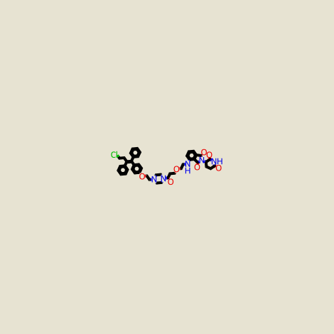 O=C1CCC(N2C(=O)c3cccc(NCCOCCC(=O)N4CCN(CCOc5ccc(C(=C(CCCl)c6ccccc6)c6ccccc6)cc5)CC4)c3C2=O)C(=O)N1